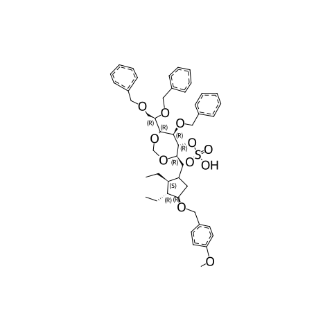 CC[C@H]1[C@H](OCc2ccc(OC)cc2)CC(C[C@H]2OCO[C@H]([C@@H](COCc3ccccc3)OCc3ccccc3)[C@@H](OCc3ccccc3)[C@@H]2OS(=O)(=O)O)[C@@H]1CC